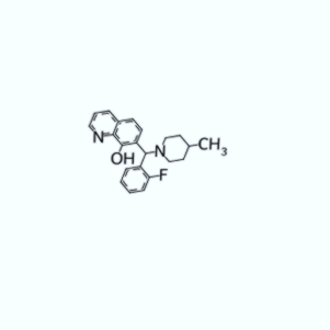 CC1CCN(C(c2ccccc2F)c2ccc3cccnc3c2O)CC1